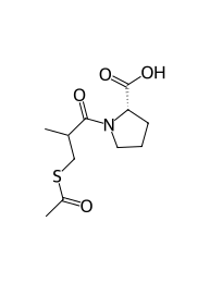 CC(=O)SCC(C)C(=O)N1CCC[C@H]1C(=O)O